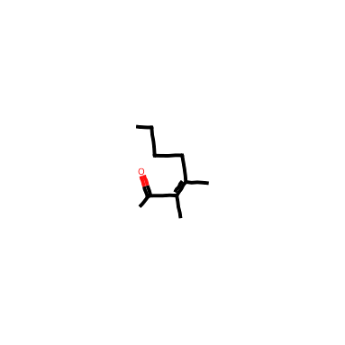 CCCCC(C)=C(C)C(C)=O